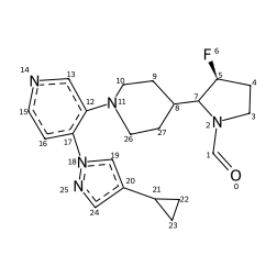 O=CN1CC[C@H](F)C1C1CCN(c2cnccc2-n2cc(C3CC3)cn2)CC1